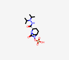 CC(C)N(NC(=O)[C@@H]1CCC2CN1C(=O)N2OS(=O)(=O)O)C(C)C